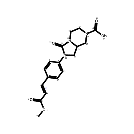 COC(=O)/C=C/c1ccc(N2CC3CN(C(=O)O)CCN3C2=O)cc1